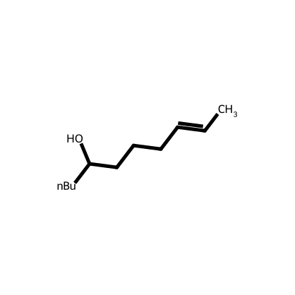 CC=CCCCC(O)CCCC